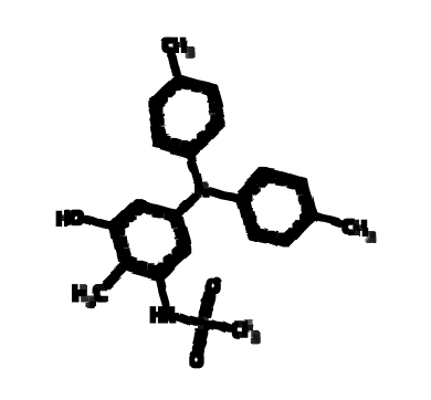 Cc1ccc(N(c2ccc(C)cc2)c2cc(O)c(C)c(NS(=O)(=O)C(F)(F)F)c2)cc1